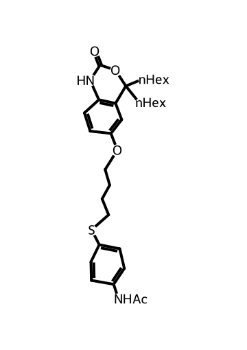 CCCCCCC1(CCCCCC)OC(=O)Nc2ccc(OCCCCSc3ccc(NC(C)=O)cc3)cc21